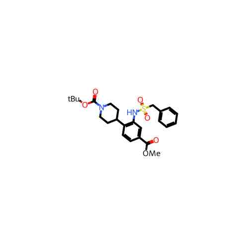 COC(=O)c1ccc(C2CCN(C(=O)OC(C)(C)C)CC2)c(NS(=O)(=O)Cc2ccccc2)c1